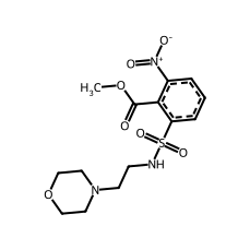 COC(=O)c1c([N+](=O)[O-])cccc1S(=O)(=O)NCCN1CCOCC1